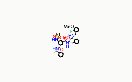 CCS(=O)(=O)Nc1cc(C(=O)N[C@@H](Cc2ccccc2)[C@H](O)CNCc2cccc(OC)c2F)cc(C(=O)N[C@H](C)c2ccccc2)c1